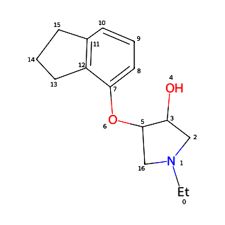 CCN1CC(O)C(Oc2cccc3c2CCC3)C1